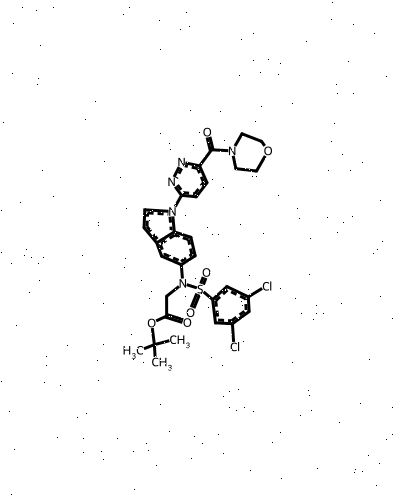 CC(C)(C)OC(=O)CN(c1ccc2c(ccn2-c2ccc(C(=O)N3CCOCC3)nn2)c1)S(=O)(=O)c1cc(Cl)cc(Cl)c1